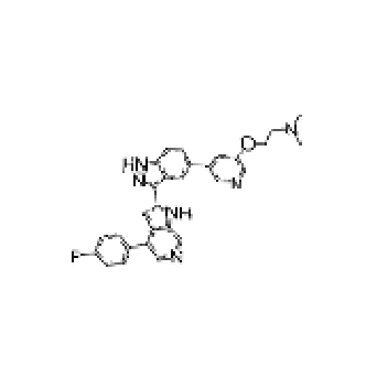 CN(C)CCOc1cncc(-c2ccc3[nH]nc(-c4cc5c(-c6ccc(F)cc6)cncc5[nH]4)c3c2)c1